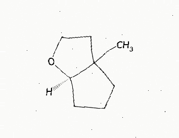 CC12CCC[C@H]1OCC2